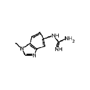 Cn1cnc2cc(NC(=N)N)ccc21